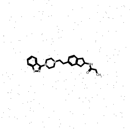 CCC(=O)NC1Cc2ccc(CCN3CCN(c4nsc5ccccc45)CC3)cc2C1